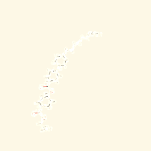 CCCCCCCCCCCCCCCCc1ccc(-c2ccc(C(=O)Oc3ccc(C(=O)OCC(C)CC)cc3)cc2)cc1